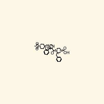 CS(=O)(=O)N1CCC(O)(Cn2cnc(C(=O)N3CCN(C(=O)O)C[C@H]3Cc3ccccc3)c2-c2ccccc2)CC1